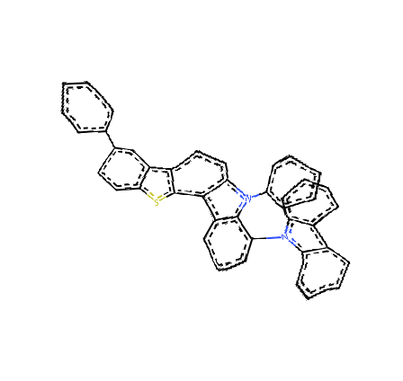 c1ccc(-c2ccc3sc4c(ccc5c4c4cccc(-n6c7ccccc7c7ccccc76)c4n5-c4ccccc4)c3c2)cc1